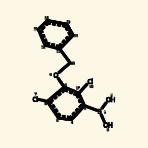 OB(O)c1ccc(Cl)c(OCc2ccccc2)c1Cl